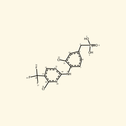 O=P(O)(O)Cc1ccc(Nc2ncc(C(F)(F)F)c(Cl)n2)c(Cl)c1